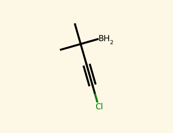 BC(C)(C)C#CCl